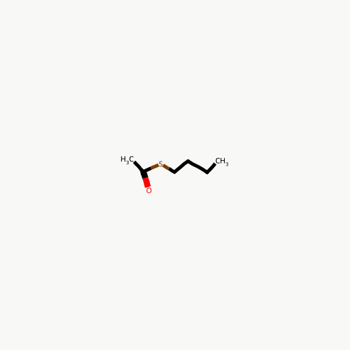 CCCCSC(C)=O